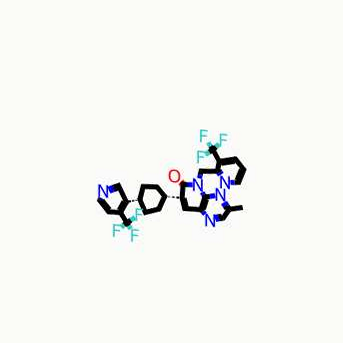 Cc1cnc2cc([C@H]3CC[C@@H](c4cnccc4C(F)(F)F)CC3)c(=O)n(Cc3ncccc3C(F)(F)F)c2n1